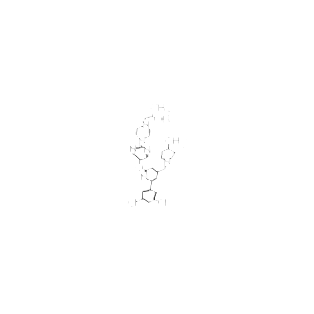 [CH2]C1CCN(Cc2cc(Oc3cnc(N4CCN(C[C@@H](C)O)CC4)nc3)nc(-c3cc(Cl)cc(Cl)c3)c2)CC1